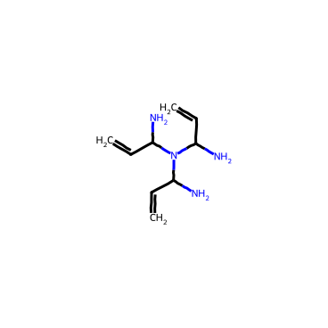 C=CC(N)N(C(N)C=C)C(N)C=C